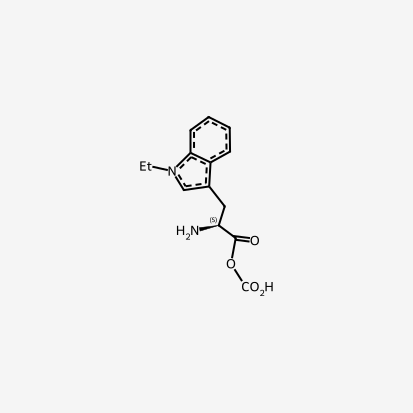 CCn1cc(C[C@H](N)C(=O)OC(=O)O)c2ccccc21